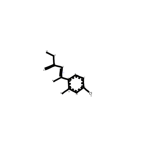 C=C(/C=C(\C)c1ccc(Cl)cc1C)CC